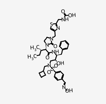 CC[C@H](C)[C@@H](C(=O)N[C@@H](Cc1ccccc1)[C@@H](O)CN(CC1CCC1)S(=O)(=O)c1ccc(C=NO)cc1)N1CCN(Cc2csc(CNC(=O)O)n2)C1=O